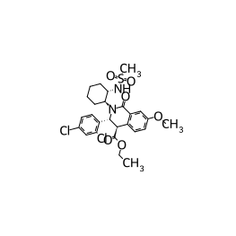 CCOC(=O)[C@@H]1c2ccc(OC)cc2C(=O)N([C@H]2CCCC[C@@H]2NS(C)(=O)=O)[C@H]1c1ccc(Cl)cc1Cl